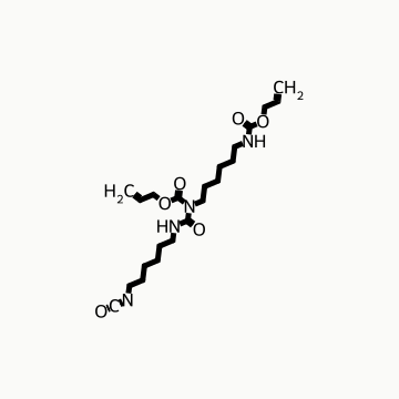 C=CCOC(=O)NCCCCCCN(C(=O)NCCCCCCN=C=O)C(=O)OCC=C